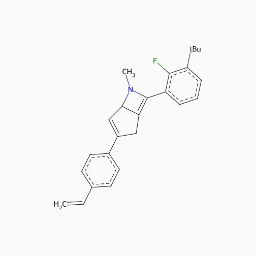 C=Cc1ccc(C2=CC3C(=C(c4cccc(C(C)(C)C)c4F)N3C)C2)cc1